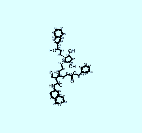 NCC(C(=O)Nc1ccc2cnccc2c1)C(CCC[C@@H]1[C@@H](CC[C@@H](O)c2cc3ccccc3s2)[C@H](O)C[C@@H]1O)CCC(=O)OCc1ccccc1